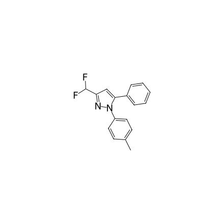 Cc1ccc(-n2nc(C(F)F)cc2-c2ccccc2)cc1